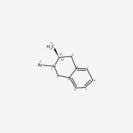 CC(=O)N1Cc2ccccc2C[C@@H]1C